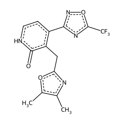 Cc1nc(Cc2c(-c3noc(C(F)(F)F)n3)cc[nH]c2=O)oc1C